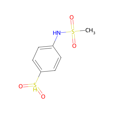 CS(=O)(=O)Nc1ccc([SH](=O)=O)cc1